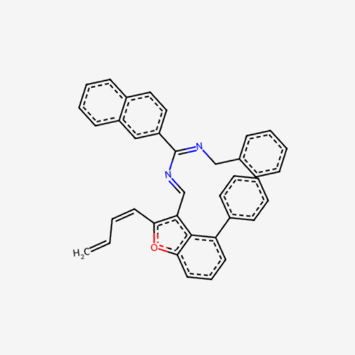 C=C/C=C\c1oc2cccc(-c3ccccc3)c2c1/C=N/C(=N\Cc1ccccc1)c1ccc2ccccc2c1